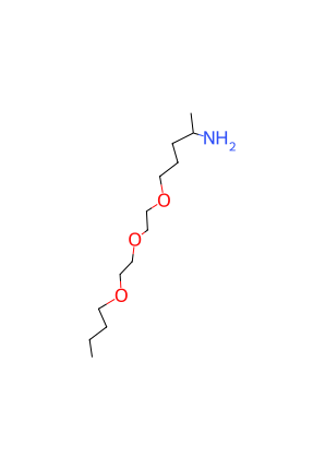 CCCCOCCOCCOCCCC(C)N